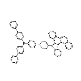 C1=CC(c2ccc(N(c3ccc(-c4ccccc4)cc3)c3ccc(-c4ccccc4)cc3)cc2)CC=C1n1c2ccccc2c2c3c4ccccc4ccc3c3ccccc3c21